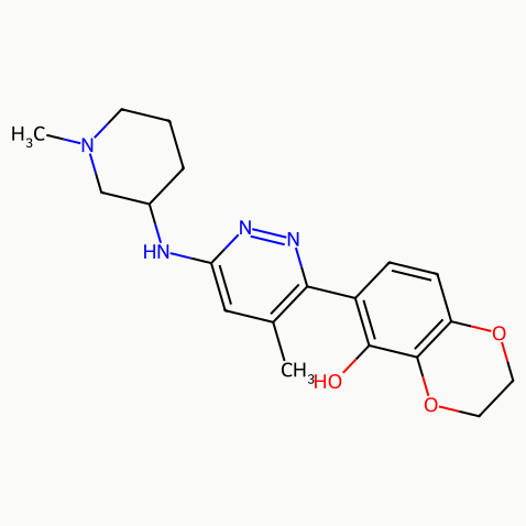 Cc1cc(NC2CCCN(C)C2)nnc1-c1ccc2c(c1O)OCCO2